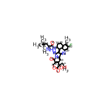 CC[C@@]1(O)C(=O)OCc2c1cc1n(c2=O)Cc2c-1nc1cc(F)c(C)c3c1c2[C@@H](NC(=O)C(N)CC(C)(C)C)CC3